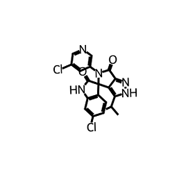 CC(C)c1[nH]nc2c1C1(C(=O)Nc3cc(Cl)ccc31)N(c1cncc(Cl)c1)C2=O